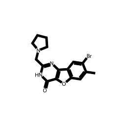 Cc1cc2oc3c(=O)[nH]c(CN4CCCC4)nc3c2cc1Br